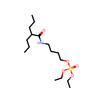 CCCC(CCC)C(=O)NCCCCOP(=O)(OCC)OCC